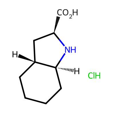 Cl.O=C(O)[C@@H]1C[C@H]2CCCC[C@@H]2N1